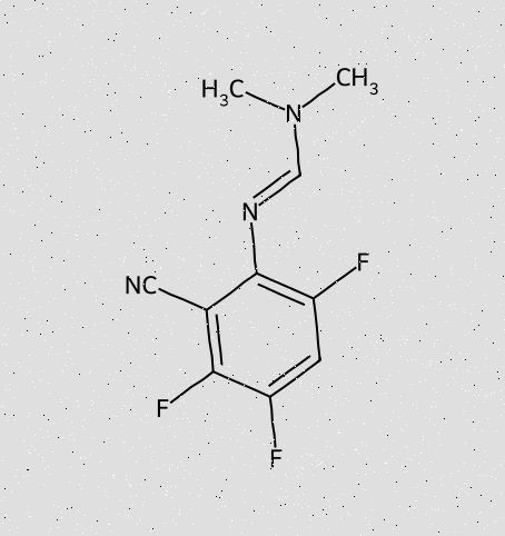 CN(C)C=Nc1c(F)cc(F)c(F)c1C#N